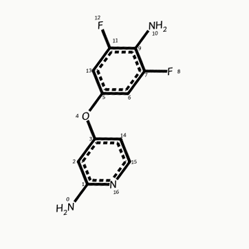 Nc1cc(Oc2cc(F)c(N)c(F)c2)ccn1